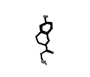 COC(=O)C1CCc2cc(O)ccc2C1